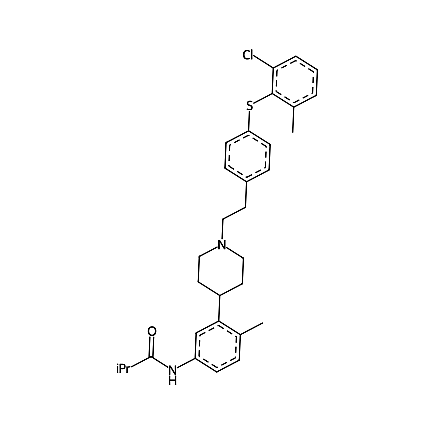 Cc1ccc(NC(=O)C(C)C)cc1C1CCN(CCc2ccc(Sc3c(C)cccc3Cl)cc2)CC1